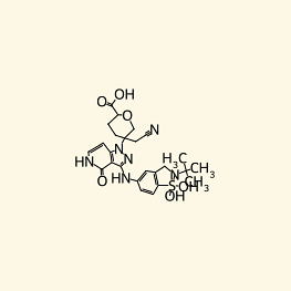 CC(C)(C)N1Cc2cc(Nc3nn(C4(CC#N)CCC(C(=O)O)OC4)c4cc[nH]c(=O)c34)ccc2S1(O)O